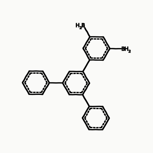 Bc1cc(B)cc(-c2cc(-c3ccccc3)cc(-c3ccccc3)c2)c1